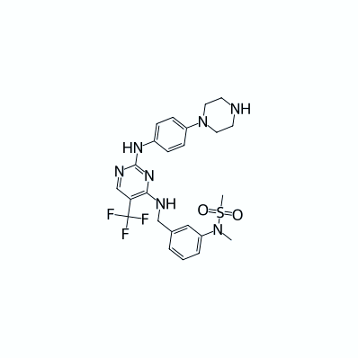 CN(c1cccc(CNc2nc(Nc3ccc(N4CCNCC4)cc3)ncc2C(F)(F)F)c1)S(C)(=O)=O